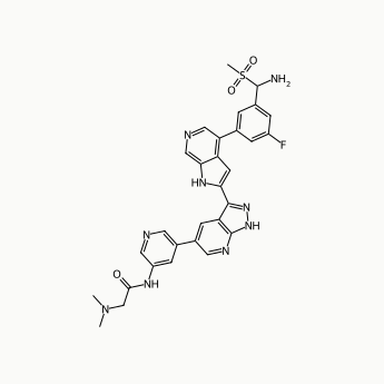 CN(C)CC(=O)Nc1cncc(-c2cnc3[nH]nc(-c4cc5c(-c6cc(F)cc(C(N)S(C)(=O)=O)c6)cncc5[nH]4)c3c2)c1